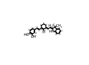 CC1(C)/C(=C/C=C2\CCCC(/C=C/c3ccc(O)c(O)c3)=C2Cl)Nc2ccccc21